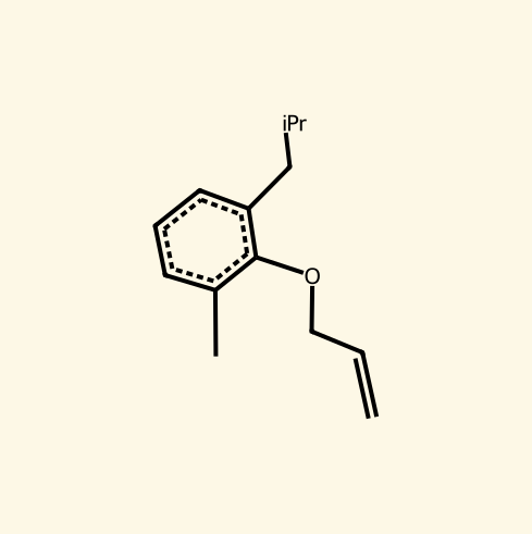 C=CCOc1c(C)cccc1CC(C)C